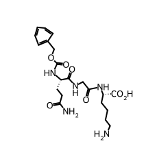 NCCCC[C@H](NC(=O)CNC(=O)[C@H](CCC(N)=O)NC(=O)OCc1ccccc1)C(=O)O